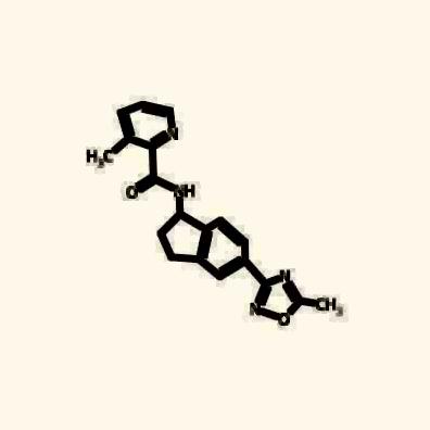 Cc1nc(-c2ccc3c(c2)CCC3NC(=O)c2ncccc2C)no1